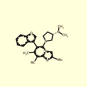 Cc1c(-c2coc3ccccc23)c(N2CC[C@H](N(C)C)C2)n2cc(C(C)(C)C)nc2c1C#N